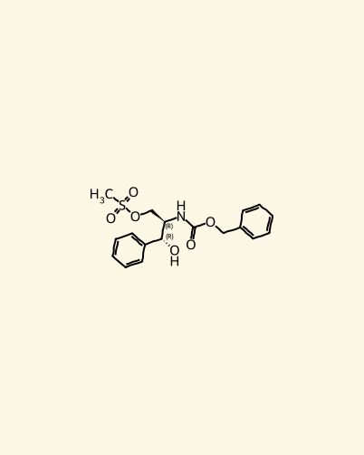 CS(=O)(=O)OC[C@@H](NC(=O)OCc1ccccc1)[C@H](O)c1ccccc1